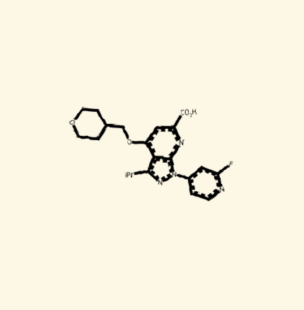 CC(C)c1nn(-c2ccnc(F)c2)c2nc(C(=O)O)cc(OCC3CCOCC3)c12